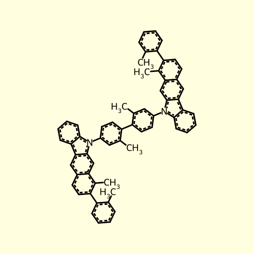 Cc1cc(-n2c3ccccc3c3cc4ccc(-c5ccccc5C)c(C)c4cc32)ccc1-c1ccc(-n2c3ccccc3c3cc4ccc(-c5ccccc5C)c(C)c4cc32)cc1C